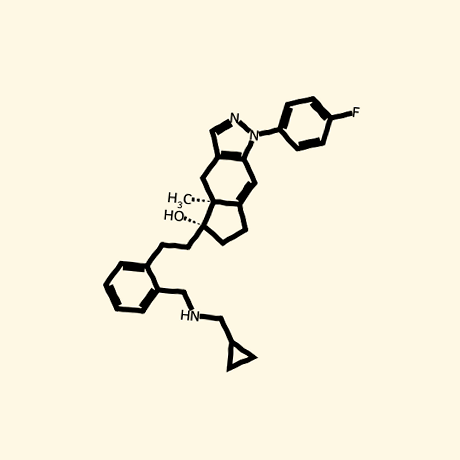 C[C@]12Cc3cnn(-c4ccc(F)cc4)c3C=C1CC[C@@]2(O)CCc1ccccc1CNCC1CC1